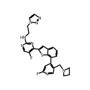 Fc1cc(-c2cccc3cc(-c4nc(NCCn5ccnn5)ncc4F)sc23)c(CN2CCC2)cn1